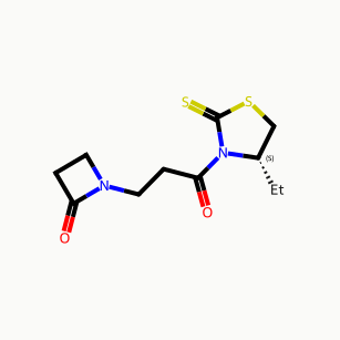 CC[C@H]1CSC(=S)N1C(=O)CCN1CCC1=O